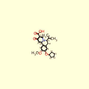 COc1cc2c(cc1OC1CCCC1)CC(C(C)C)n1cc(C(=O)O)c(=O)cc1-2